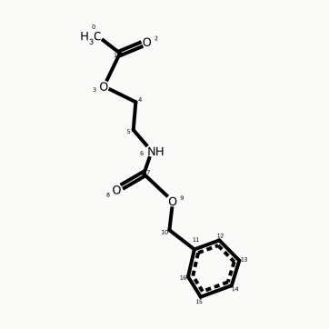 CC(=O)OCCNC(=O)OCc1ccccc1